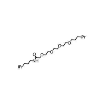 CC(C)CCCNC(=O)COCCOCCOCCOCCCC(C)C